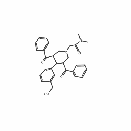 CN(C)C(=O)CN1CC(C(=O)c2ccccc2)C(c2cccc(CO)c2)C(C(=O)c2ccccc2)C1